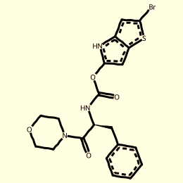 O=C(N[C@@H](Cc1ccccc1)C(=O)N1CCOCC1)Oc1cc2sc(Br)cc2[nH]1